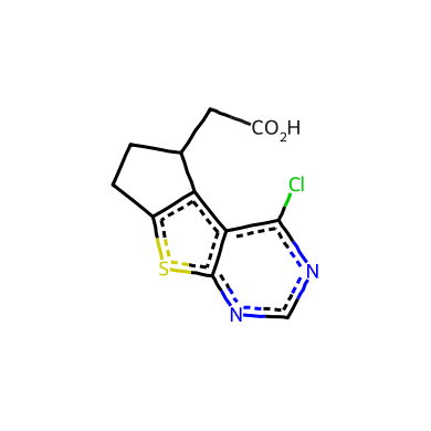 O=C(O)CC1CCc2sc3ncnc(Cl)c3c21